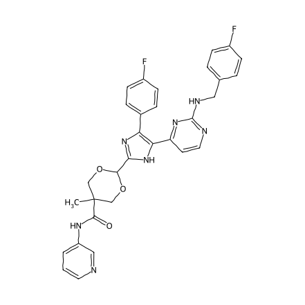 CC1(C(=O)Nc2cccnc2)COC(c2nc(-c3ccc(F)cc3)c(-c3ccnc(NCc4ccc(F)cc4)n3)[nH]2)OC1